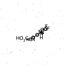 CC(C)(COc1ccc(-c2ccc(-c3nc(Oc4ccc(F)c(F)c4)n[nH]3)cc2)cn1)C(=O)O